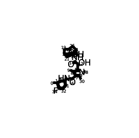 Cc1cc(NC(=O)c2c(C)c(C(O)C(=O)NC34CC5CC(C3)C(O)C(C5)C4)n(C)c2C)ccc1F